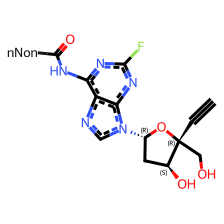 C#C[C@]1(CO)O[C@@H](n2cnc3c(NC(=O)CCCCCCCCC)nc(F)nc32)C[C@@H]1O